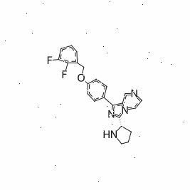 Fc1cccc(COc2ccc(-c3nc([C@@H]4CCCN4)n4ccncc34)cc2)c1F